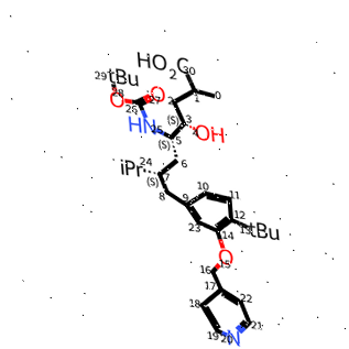 CC(C[C@H](O)[C@H](C[C@H](Cc1ccc(C(C)(C)C)c(OCc2ccncc2)c1)C(C)C)NC(=O)OC(C)(C)C)C(=O)O